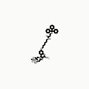 CCOCc1nc2c(N)nc3cc(OCCCCCCNC(=O)CCSC(c4ccccc4)(c4ccccc4)c4ccccc4)ccc3c2n1CC(C)(C)NS(C)(=O)=O